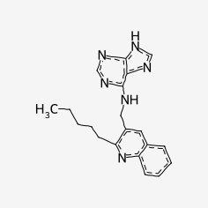 CCCCCc1nc2ccccc2cc1CNc1ncnc2[nH]cnc12